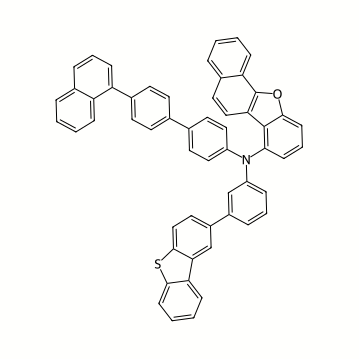 c1cc(-c2ccc3sc4ccccc4c3c2)cc(N(c2ccc(-c3ccc(-c4cccc5ccccc45)cc3)cc2)c2cccc3oc4c5ccccc5ccc4c23)c1